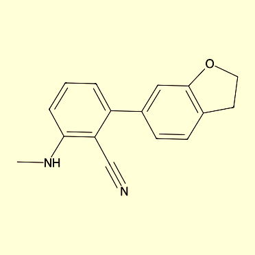 CNc1cccc(-c2ccc3c(c2)OCC3)c1C#N